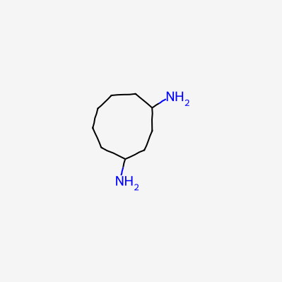 NC1CCCCCC(N)CC1